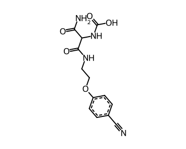 N#Cc1ccc(OCCNC(=O)C(NC(=O)O)C(N)=O)cc1